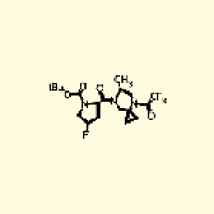 C[C@@H]1CN(C(=O)C(F)(F)F)C2(CC2)CN1C(=O)[C@@H]1C[C@@H](F)CN1C(=O)OC(C)(C)C